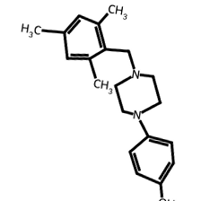 Cc1cc(C)c(CN2CCN(c3ccc(O)cc3)CC2)c(C)c1